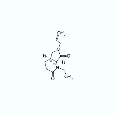 C=CCN1C[C@@H]2CCC(=O)N(CC)[C@@H]2C1=O